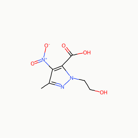 Cc1nn(CCO)c(C(=O)O)c1[N+](=O)[O-]